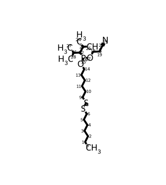 CCCCCCCSSCCCCCCOP(OCCC#N)C(C(C)C)C(C)C